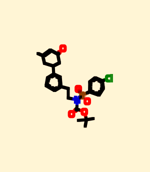 CC1=CC(=O)CC(c2cccc(CCN(C(=O)OC(C)(C)C)S(=O)(=O)c3ccc(Cl)cc3)c2)C1